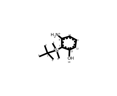 CC(C)(C)[Si](C)(C)c1c(N)cccc1O